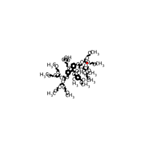 COCCOCC(COCCOC)OCC(COC(COCCOC)COCCOC)Oc1ccc2c(c1)c(C(=O)Oc1c(C)cc(C(=O)OC)cc1C)c1cc(OC(COC(COCCOC)COCCOC)COC(COCCOC)COCCOC)ccc1[n+]2CCCS(=O)(=O)O